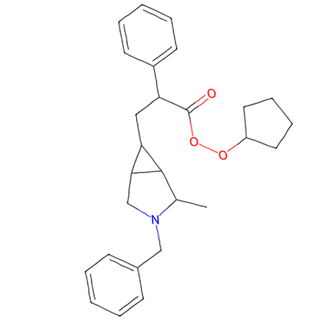 CC1C2C(CC(C(=O)OOC3CCCC3)c3ccccc3)C2CN1Cc1ccccc1